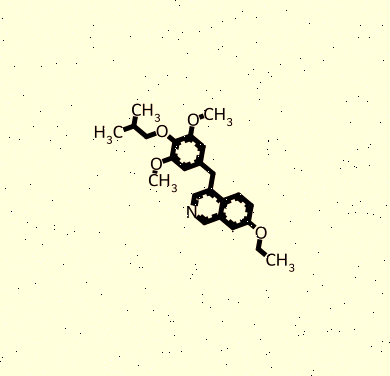 CCOc1[c]c2cncc(Cc3cc(OC)c(OCC(C)C)c(OC)c3)c2cc1